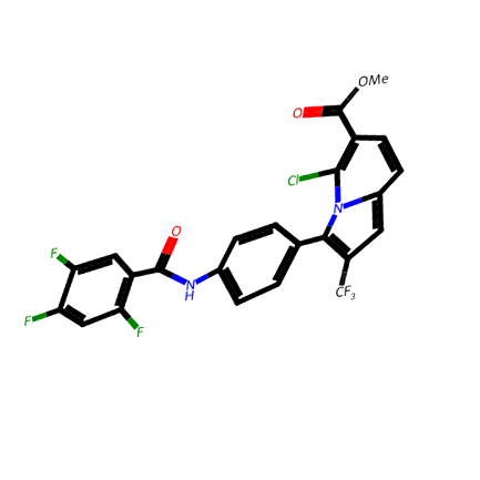 COC(=O)c1ccc2cc(C(F)(F)F)c(-c3ccc(NC(=O)c4cc(F)c(F)cc4F)cc3)n2c1Cl